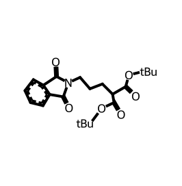 CC(C)(C)OC(=O)C(CCCN1C(=O)c2ccccc2C1=O)C(=O)OC(C)(C)C